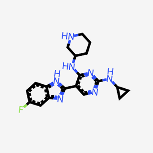 Fc1ccc2[nH]c(-c3cnc(NC4CC4)nc3NC3CCCNC3)nc2c1